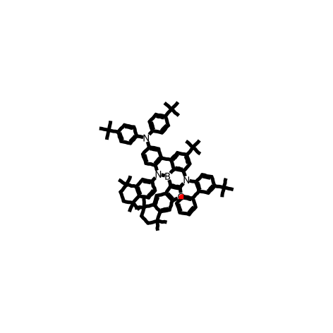 CC(C)(C)c1ccc(N(c2ccc(C(C)(C)C)cc2)c2ccc3c(c2)-c2cc(C(C)(C)C)cc4c2B(c2c(oc5cc6c(cc25)C(C)(C)CCC6(C)C)N4c2ccc(C(C)(C)C)cc2-c2ccccc2)N3c2ccc3c(c2)C(C)(C)CCC3(C)C)cc1